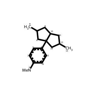 CNc1ccc(C23CC(C)CC2CC(C)C3)cc1